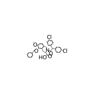 COc1ccc2c(c1OCc1ccccc1)CC(C(=O)O)N(C(=O)C(c1ccc(Cl)cc1)c1ccc(Cl)cc1)C2